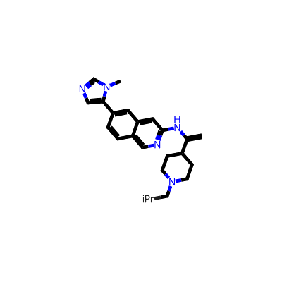 C=C(Nc1cc2cc(-c3cncn3C)ccc2cn1)C1CCN(CC(C)C)CC1